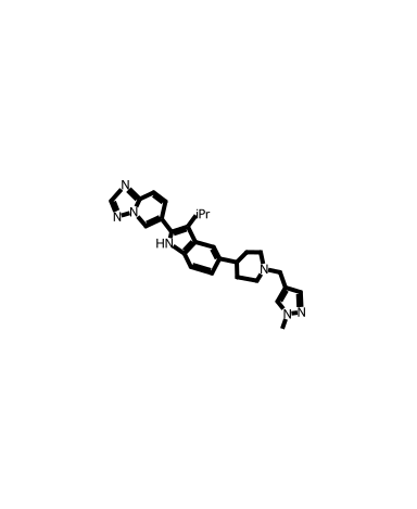 CC(C)c1c(-c2ccc3ncnn3c2)[nH]c2ccc(C3CCN(Cc4cnn(C)c4)CC3)cc12